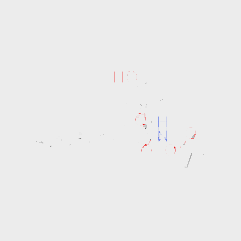 C=C(C)C(=O)ONC(=O)C(CCC)(CCCCCCCCCC)OCCCO